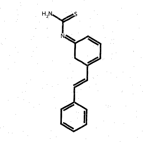 NC(=S)N=C1C=CC=C(C=Cc2ccccc2)C1